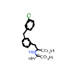 CCC[C@H](NC(Cc1cccc(Cc2cccc(Cl)c2)c1)C(=O)O)C(=O)O